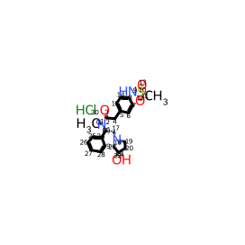 CN(C(=O)Cc1ccc(NS(C)(=O)=O)cc1)[C@H](CN1CC[C@H](O)C1)c1ccccc1.Cl